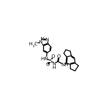 Cn1nnc2ccc(NS(=O)(=O)NC(=O)Nc3c4c(cc5c3CCC5)CCC4)cc21